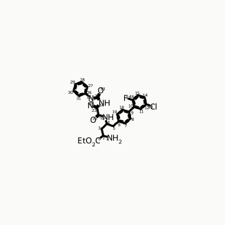 CCOC(=O)C(N)CC(Cc1ccc(-c2cc(Cl)ccc2F)cc1)NC(=O)c1nn(-c2ccccc2)c(=O)[nH]1